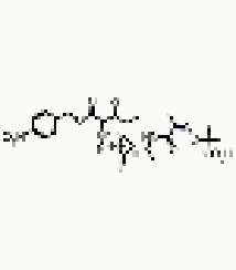 C/C(=N/OC(C)(C)C(=O)O)C(=O)NC(C)[C@H]1C(=O)N[C@@H]1C(C)C(=O)C(=[N+]=[N-])C(=O)OCc1ccc([N+](=O)[O-])cc1